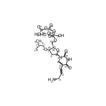 CS(=S)CO[C@@H]1C[C@H](n2cc(C#CCN)c(=O)[nH]c2=O)O[C@@H]1COP(=O)(O)OP(=O)(O)OP(=O)(O)O